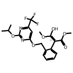 COC(=O)/C(=C(\O)OC)c1ccccc1COc1cc(C(F)(F)F)nc(OC(C)C)n1